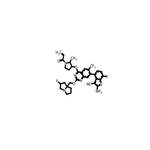 C=CC(=O)N1CCC(Oc2nc(OCC34CCCN3CC(F)C4)nc3cc(-c4ccc(F)c5sc(N)c(C#N)c45)c(C(F)(F)F)cc23)C1C